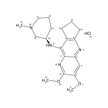 COc1cc2nc3c(c(N[C@@H]4CCCN(C)C4)c2nc1OC)CCC3.Cl